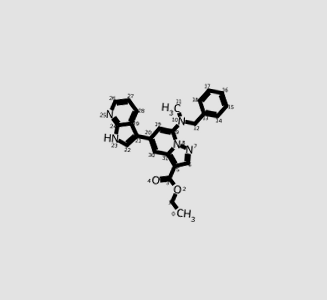 CCOC(=O)c1cnn2c(N(C)Cc3ccccc3)cc(-c3c[nH]c4ncccc34)cc12